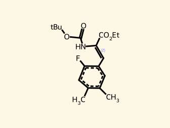 CCOC(=O)/C(=C/c1cc(C)c(C)cc1F)NC(=O)OC(C)(C)C